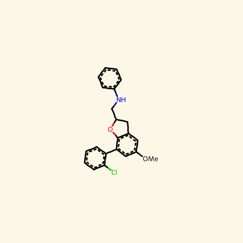 COc1cc2c(c(-c3ccccc3Cl)c1)OC(CNc1ccccc1)C2